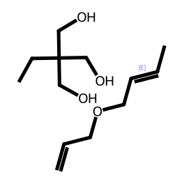 C=CCOC/C=C/C.CCC(CO)(CO)CO